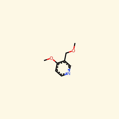 COCc1[c]nccc1OC